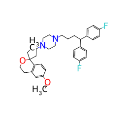 CCC1(CCN2CCN(CCCC(c3ccc(F)cc3)c3ccc(F)cc3)CC2)OCCc2cc(OC)ccc21